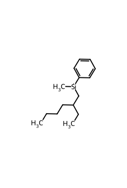 CCCCC(CC)C[Si](C)c1ccccc1